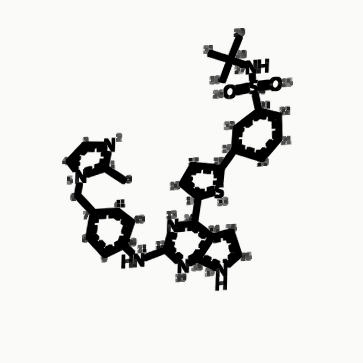 Cc1nccn1Cc1ccc(Nc2nc(-c3ccc(-c4cccc(S(=O)(=O)NC(C)(C)C)c4)s3)c3cc[nH]c3n2)cc1